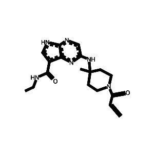 C=CC(=O)N1CCC(C)(Nc2cnc3[nH]cc(C(=O)NCC)c3n2)CC1